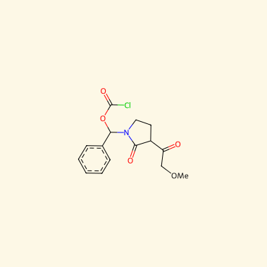 COCC(=O)C1CCN(C(OC(=O)Cl)c2ccccc2)C1=O